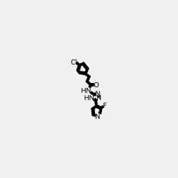 O=C(CCc1ccc(Cl)cc1)Nc1nnc(-c2ccncc2F)[nH]1